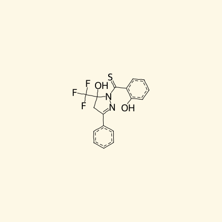 Oc1ccccc1C(=S)N1N=C(c2ccccc2)CC1(O)C(F)(F)F